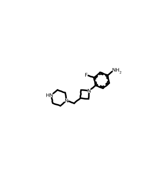 Nc1ccc(N2CC(CN3CCNCC3)C2)c(F)c1